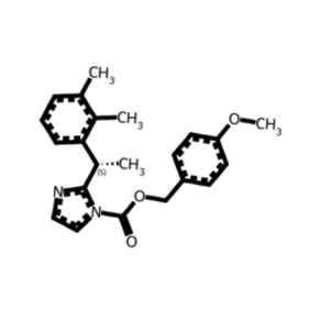 COc1ccc(COC(=O)n2ccnc2[C@@H](C)c2cccc(C)c2C)cc1